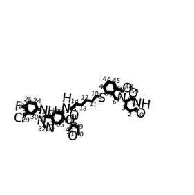 O=C1CCC(N2Cc3c(SCCCCCC(=O)Nc4cc5c(Nc6ccc(F)c(Cl)c6)ncnc5cc4O[C@H]4CCOC4)cccc3C2=O)C(=O)N1